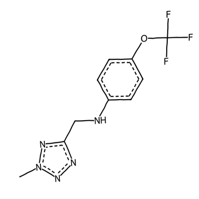 Cn1nnc(CNc2ccc(OC(F)(F)F)cc2)n1